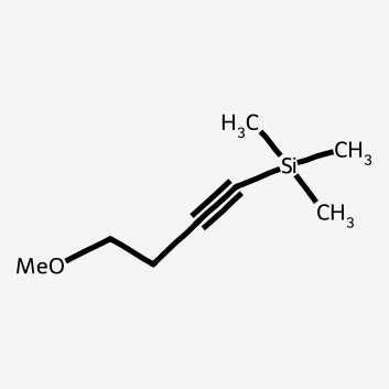 COCCC#C[Si](C)(C)C